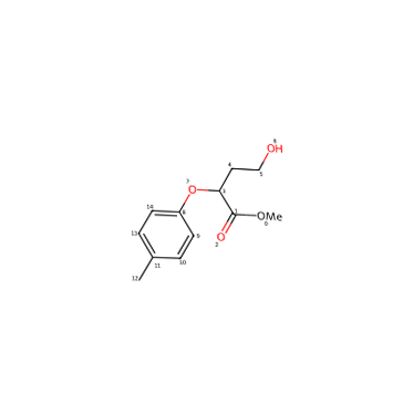 COC(=O)C(CCO)Oc1ccc(C)cc1